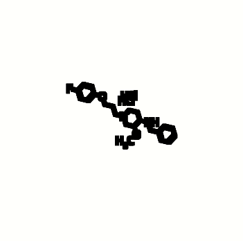 CO[C@H]1CN(CCCOc2ccc(F)cc2)CC[C@H]1NCc1ccccc1.Cl.Cl